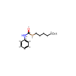 CCCCCCCCCCCCSC(=O)Nc1ccccc1